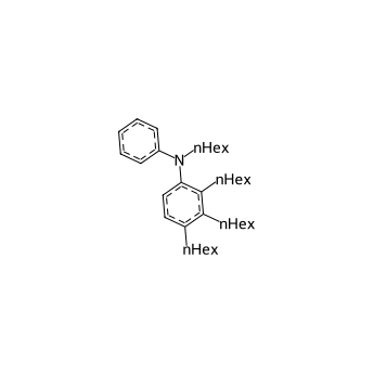 CCCCCCc1ccc(N(CCCCCC)c2ccccc2)c(CCCCCC)c1CCCCCC